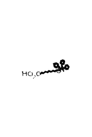 O=C(O)CCCCCCCCCCOc1nc(-c2ccccc2)c(-c2ccccc2)n1-c1ccccc1